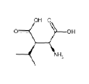 CC(C)[C@@H](C(=O)O)[C@H](N)C(=O)O